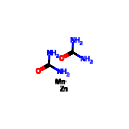 NC(N)=O.NC(N)=O.[Mn].[Zn]